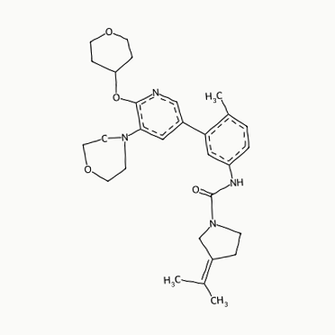 CC(C)=C1CCN(C(=O)Nc2ccc(C)c(-c3cnc(OC4CCOCC4)c(N4CCOCC4)c3)c2)C1